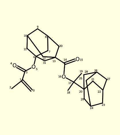 C=C(C)C(=O)OC12CC3CC(C1)CC(C(=O)OC(C)(C)C14CC5CC(CC(C5)C1)C4)(C3)C2